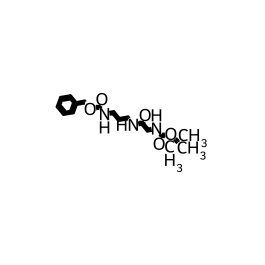 CC(C)(C)OC(=O)NCC(=O)NCCCNC(=O)OCc1ccccc1